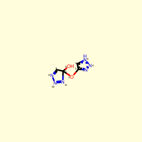 OC1(Oc2c[nH]nn2)C=NN=N1